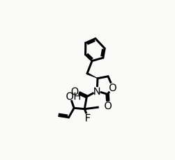 C=CC(O)C(C)(F)C(=O)N1C(=O)OC[C@@H]1Cc1ccccc1